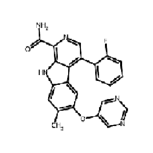 Cc1cc2[nH]c3c(C(N)=O)ncc(-c4ccccc4F)c3c2cc1Oc1cncnc1